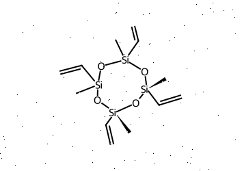 C=C[Si]1(C)O[Si](C)(C=C)O[Si@](C)(C=C)O[Si@](C)(C=C)O1